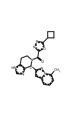 Cc1cccc2cc([C@H]3c4nc[nH]c4CCN3C(=O)c3nnc(C4CCC4)o3)nn12